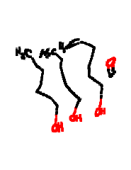 CCCCO.CCCCO.CCCCO.[O]=[V]